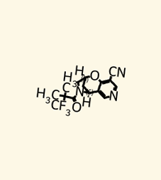 CC(C)(C(=O)N1C[C@@H]2C[C@H]1c1cncc(C#N)c1O2)C(F)(F)F